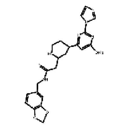 COc1cc(C2CCNC(CC(=O)NCc3ccc4c(c3)OCO4)C2)nc(-n2ccnc2)n1